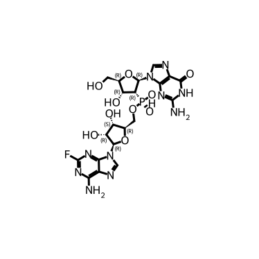 Nc1nc2c(ncn2[C@@H]2O[C@H](CO)[C@@H](O)[C@H]2P(=O)(O)OC[C@H]2O[C@@H](n3cnc4c(N)nc(F)nc43)[C@H](O)[C@@H]2O)c(=O)[nH]1